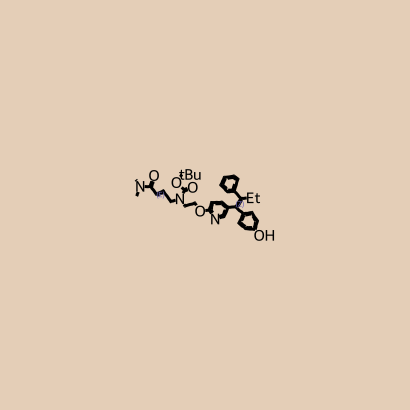 CC/C(=C(\c1ccc(O)cc1)c1ccc(OCCN(C/C=C/C(=O)N(C)C)C(=O)OC(C)(C)C)nc1)c1ccccc1